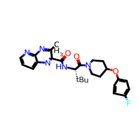 Cc1nc2ncccc2nc1C(=O)N[C@H](C(=O)N1CCC(Oc2ccc(F)cc2)CC1)C(C)(C)C